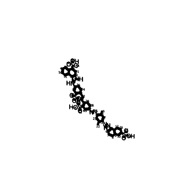 Cc1cc(-n2n3c4ccc5cc(S(=O)(=O)O)ccc5c4n23)c(C)cc1N=Nc1ccc(C=Cc2ccc(Nn3[nH]c4cc(S(=O)(=O)O)c5ccccc5c43)cc2S(=O)(=O)O)c(S(=O)(=O)O)c1